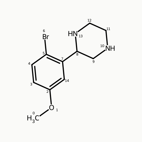 COc1ccc(Br)c(C2CNCCN2)c1